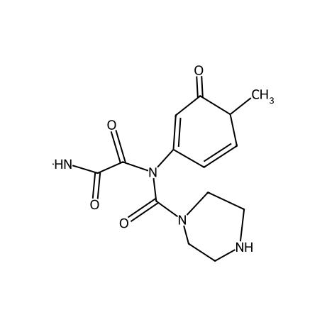 CC1C=CC(N(C(=O)C([NH])=O)C(=O)N2CCNCC2)=CC1=O